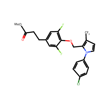 COC(=O)CCc1cc(F)c(OCc2c(C(F)(F)F)ccn2-c2ccc(Cl)cc2)c(F)c1